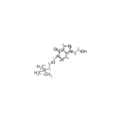 C[Si](C)(C)CCOCn1ncc2c(cnn2CCO)c1=O